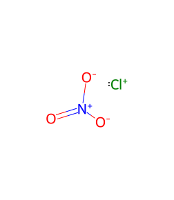 O=[N+]([O-])[O-].[Cl+]